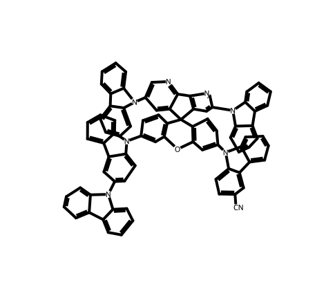 N#Cc1ccc2c(c1)c1ccccc1n2-c1ccc2c(c1)Oc1cc(-n3c4ccccc4c4cc(-n5c6ccccc6c6ccccc65)ccc43)ccc1C21c2cc(-n3c4ccccc4c4ccccc43)cnc2-c2ncc(-n3c4ccccc4c4ccccc43)cc21